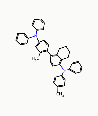 Cc1ccc(N(c2ccccc2)c2ccc(-c3ccc(N(c4ccccc4)c4ccccc4)cc3C)c3c2CCCC3)cc1